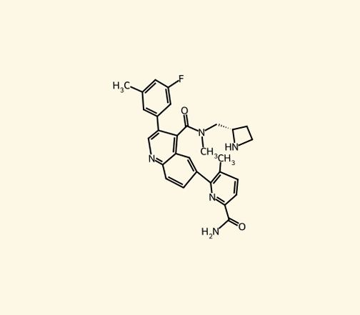 Cc1cc(F)cc(-c2cnc3ccc(-c4nc(C(N)=O)ccc4C)cc3c2C(=O)N(C)C[C@@H]2CCN2)c1